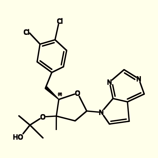 CC(C)(O)OC1(C)CC(n2ccc3cncnc32)O[C@@H]1Cc1ccc(Cl)c(Cl)c1